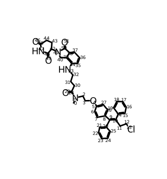 CN(CCOc1ccc(/C(=C(/CCCl)c2ccccc2)c2ccccc2)cc1)C(=O)CCCNc1cccc2c1CN(C1CCC(=O)NC1=O)C2=O